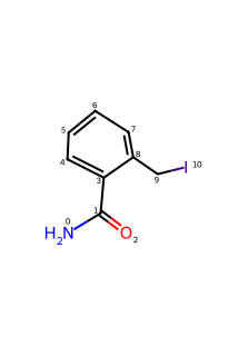 NC(=O)c1ccccc1CI